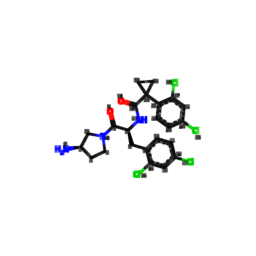 N[C@@H]1CCN(C(=O)[C@H](Cc2ccc(Cl)cc2Cl)NC(=O)C2(c3ccc(Cl)cc3Cl)CC2)C1